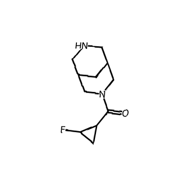 O=C(C1CC1F)N1CC2CNCC(C2)C1